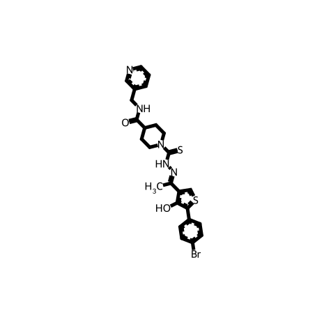 C/C(=N\NC(=S)N1CCC(C(=O)NCc2cccnc2)CC1)c1csc(-c2ccc(Br)cc2)c1O